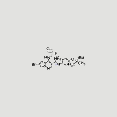 CCc1cc(O[Si](C)(C)C(C)(C)C)ccc1/N=C(\N)c1cnn2cc(Br)cc2c1NCC1(F)COC1